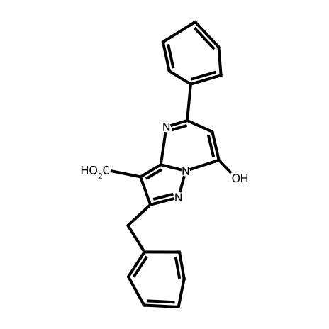 O=C(O)c1c(Cc2ccccc2)nn2c(O)cc(-c3ccccc3)nc12